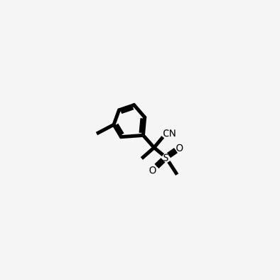 Cc1cccc(C(C)(C#N)S(C)(=O)=O)c1